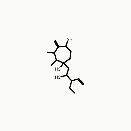 C=CC(CC)C(S)CC1(S)CCC(S)C(=C)C(C)C1C